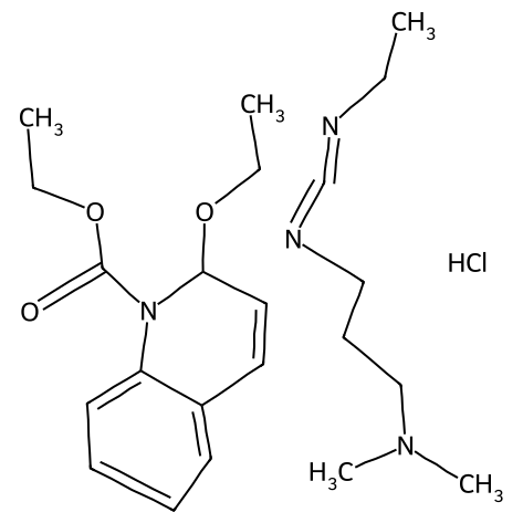 CCN=C=NCCCN(C)C.CCOC(=O)N1c2ccccc2C=CC1OCC.Cl